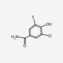 NC(=O)c1cc(F)c(O)c(Cl)c1